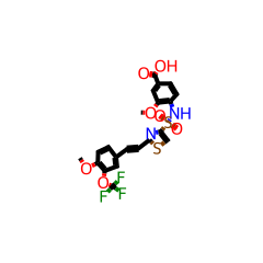 COc1cc(C(=O)O)ccc1NS(=O)(=O)c1csc(C#Cc2ccc(OC)c(OC(F)(F)F)c2)n1